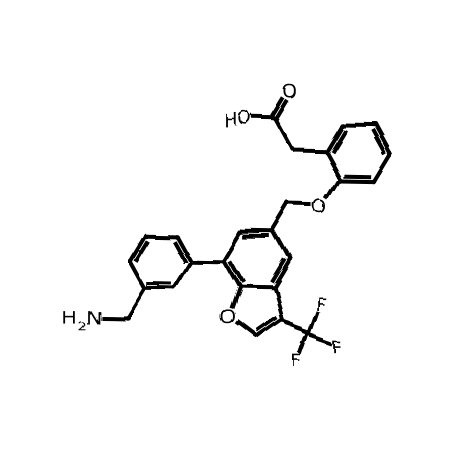 NCc1cccc(-c2cc(COc3ccccc3CC(=O)O)cc3c(C(F)(F)F)coc23)c1